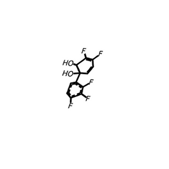 OC1C(F)=C(F)C=CC1(O)c1ccc(F)c(F)c1F